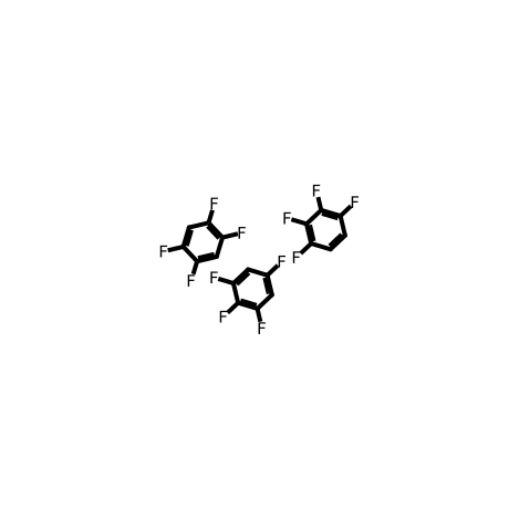 Fc1cc(F)c(F)c(F)c1.Fc1cc(F)c(F)cc1F.Fc1ccc(F)c(F)c1F